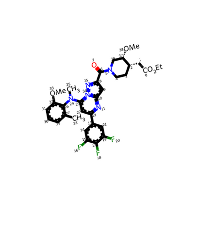 CCOC(=O)C[C@@H]1CCN(C(=O)c2cc3nc(-c4cc(F)c(F)c(F)c4)cc(N(C)c4c(C)cccc4OC)n3n2)C[C@@H]1OC